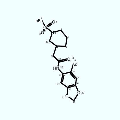 CCCCS(=O)(=O)N1CCCC(CC(=O)Nc2cc3c(cc2C(C)=O)OCO3)C1